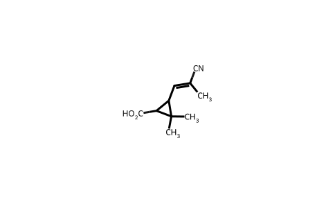 CC(C#N)=CC1C(C(=O)O)C1(C)C